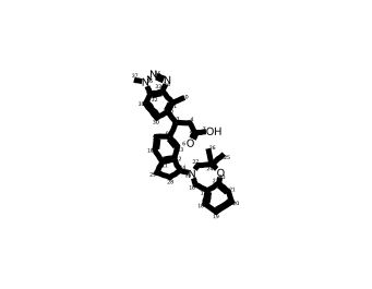 Cc1c(C(CC(=O)O)c2ccc3c(c2)C(N2Cc4ccccc4OC(C)(C)C2)CC3)ccc2c1nnn2C